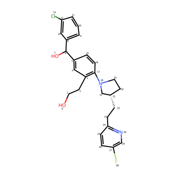 OCCc1cc(C(O)c2cccc(Cl)c2)ccc1N1CC[C@H](CCc2ccc(F)cn2)C1